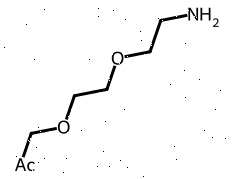 CC(=O)COCCOCCN